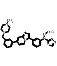 CN1CCN(Cc2cccc(-c3ccn4c(-c5cccc(N(OC=O)c6nncs6)c5)cnc4c3)c2)CC1